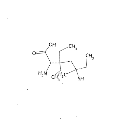 CCC(C)(S)CC(CC)(CC)C(N)C(=O)O